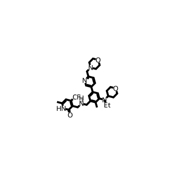 CCN(c1cc(-c2ccc(CN3CCOCC3)nc2)cc(CNCc2c(C(F)(F)F)cc(C)[nH]c2=O)c1C)C1CCOCC1